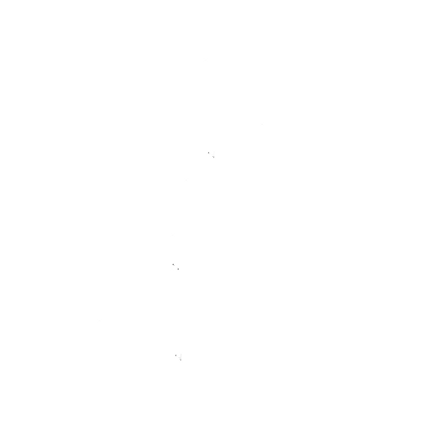 Cn1c2cc(-n3c4ccccc4c4ccccc43)ccc2c2cccc(C#N)c21